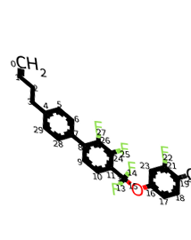 C=CCCc1ccc(-c2ccc(C(F)(F)Oc3ccc(C(F)(F)F)c(F)c3)c(F)c2F)cc1